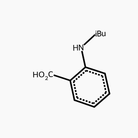 [CH2]CC(C)Nc1ccccc1C(=O)O